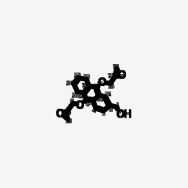 OCc1ccc2c(OCC3CO3)c3c(c(OCC4CO4)c2c1)CC=CC3